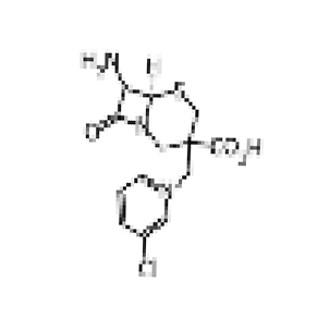 NC1C(=O)N2CC(C[n+]3cccc(Cl)c3)(C(=O)O)CS[C@H]12